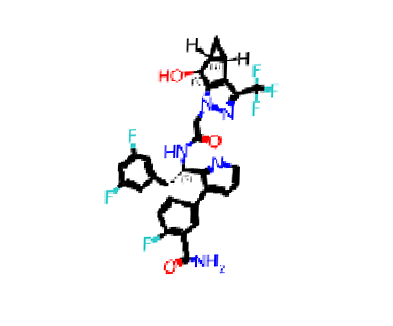 NC(=O)c1cc(-c2cccnc2[C@H](Cc2cc(F)cc(F)c2)NC(=O)Cn2nc(C(F)(F)F)c3c2[C@@H](O)[C@@H]2C[C@H]32)ccc1F